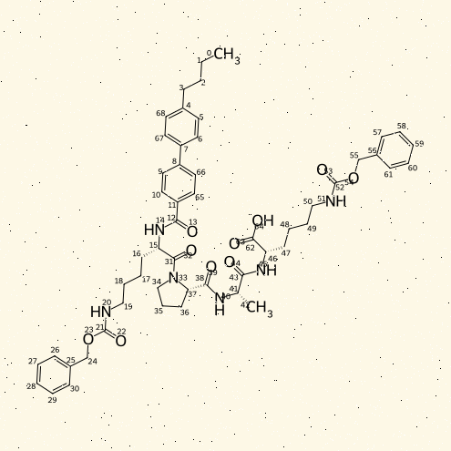 CCCCc1ccc(-c2ccc(C(=O)N[C@@H](CCCCNC(=O)OCc3ccccc3)C(=O)N3CCC[C@H]3C(=O)N[C@@H](C)C(=O)N[C@@H](CCCCNC(=O)OCc3ccccc3)C(=O)O)cc2)cc1